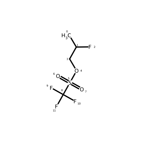 CC(F)COS(=O)(=O)C(F)(F)F